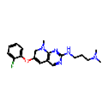 CN(C)CCCNc1ncc2c(n1)N(C)CC(Oc1ccccc1F)=C2